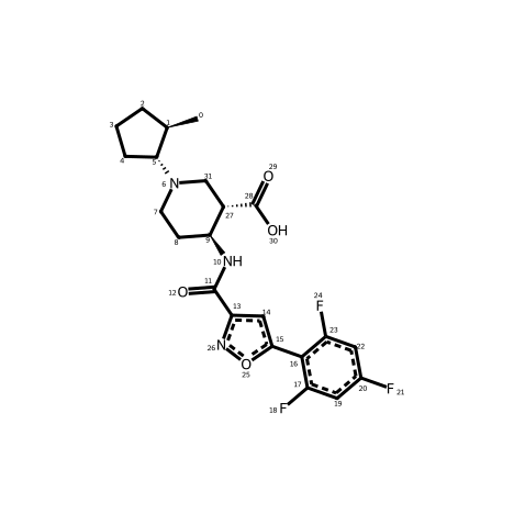 C[C@@H]1CCC[C@H]1N1CC[C@H](NC(=O)c2cc(-c3c(F)cc(F)cc3F)on2)[C@@H](C(=O)O)C1